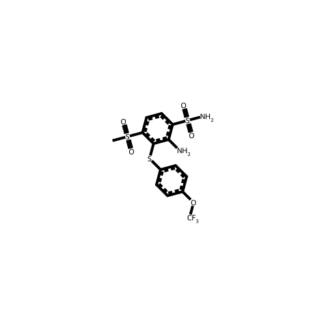 CS(=O)(=O)c1ccc(S(N)(=O)=O)c(N)c1Sc1ccc(OC(F)(F)F)cc1